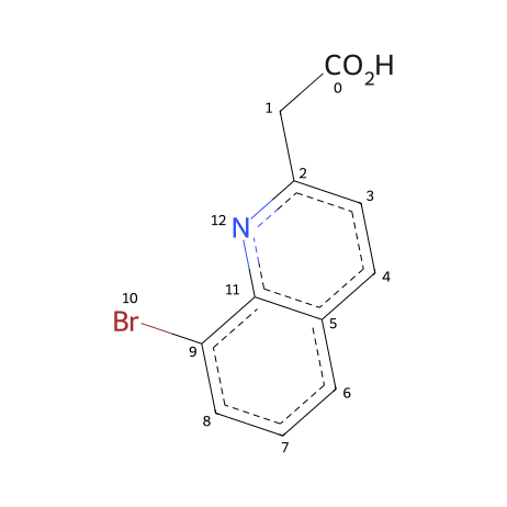 O=C(O)Cc1ccc2cccc(Br)c2n1